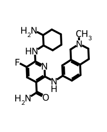 CN1CCc2ccc(Nc3nc(NC4CCCCC4N)c(F)cc3C(N)=O)cc2C1